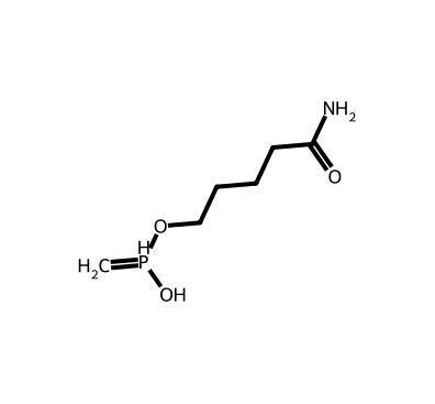 C=[PH](O)OCCCCC(N)=O